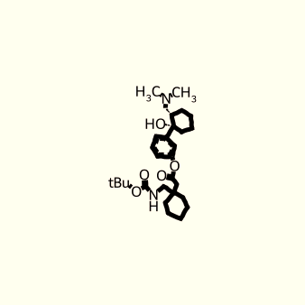 CN(C)C[C@@H]1CCCC[C@@]1(O)c1cccc(OC(=O)CC2(CNC(=O)OC(C)(C)C)CCCCC2)c1